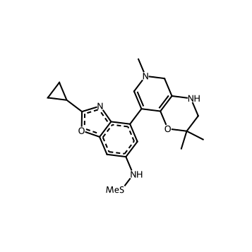 CSNc1cc(C2=CN(C)CC3=C2OC(C)(C)CN3)c2nc(C3CC3)oc2c1